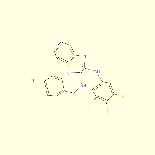 Fc1cc(Nc2nc3ccccc3nc2NCc2ccc(Cl)cc2)cc(F)c1F